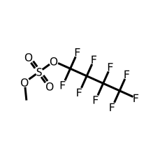 COS(=O)(=O)OC(F)(F)C(F)(F)C(F)(F)C(F)(F)F